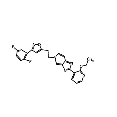 CCOc1ncccc1-c1nc2ccn(CCc3cc(-c4cc(F)ccc4F)no3)cc-2n1